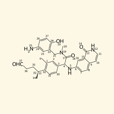 Cc1cc(C(Nc2ccc3cc[nH]c(=O)c3c2)C(=O)N(C)Cc2cc(N)ccc2O)ccc1[C@@H](C)CCC=O